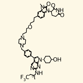 C[C@@H](CC(F)(F)F)Nc1ncc2c(-c3ccc(CN4CCN(CCCOCCCc5ccc6c(c5)n(C)c(=O)n6C5CCC(=O)NC5=O)CC4)cc3)cn([C@H]3CC[C@H](O)CC3)c2n1